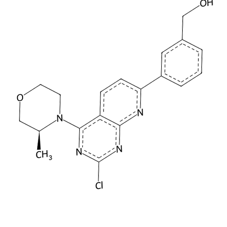 C[C@H]1COCCN1c1nc(Cl)nc2nc(-c3cccc(CO)c3)ccc12